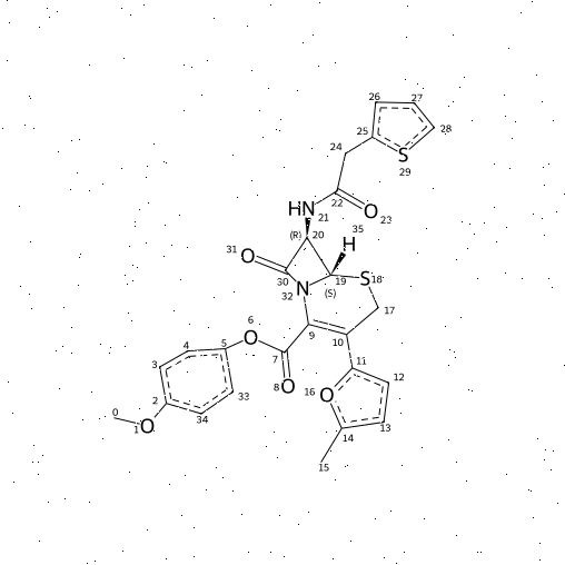 COc1ccc(OC(=O)C2=C(c3ccc(C)o3)CS[C@H]3[C@H](NC(=O)Cc4cccs4)C(=O)N23)cc1